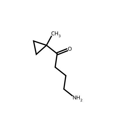 CC1(C(=O)CCCN)CC1